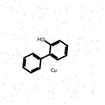 Oc1ccccc1-c1ccccc1.[Cu]